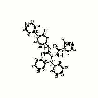 Cc1cc(NC(=O)C(NC(=O)c2ccnn2C)C(c2ccccc2)c2ccccc2)ccc1-c1ccncc1